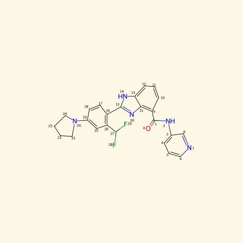 O=C(Nc1cccnc1)c1cccc2[nH]c(-c3ccc(N4CCCC4)cc3C(F)F)nc12